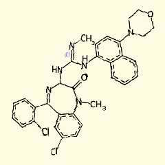 C/N=C(\Nc1ccc(N2CCOCC2)c2ccccc12)NC1N=C(c2ccccc2Cl)c2cc(Cl)ccc2N(C)C1=O